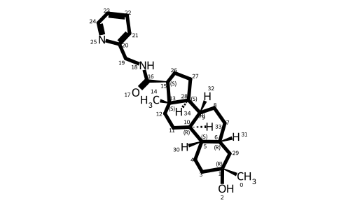 C[C@@]1(O)CC[C@H]2[C@H](CC[C@@H]3[C@@H]2CC[C@]2(C)[C@@H](C(=O)NCc4ccccn4)CC[C@@H]32)C1